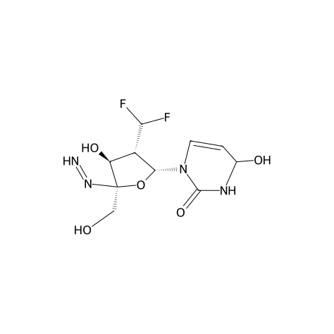 N=N[C@]1(CO)O[C@@H](N2C=CC(O)NC2=O)[C@@H](C(F)F)[C@@H]1O